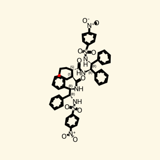 O=C(N[C@H](c1ccccc1)[C@H](NS(=O)(=O)c1ccc([N+](=O)[O-])cc1)c1ccccc1)[C@H]1CCCC[C@@H]1C(=O)N[C@H](c1ccccc1)[C@H](NS(=O)(=O)c1ccc([N+](=O)[O-])cc1)c1ccccc1